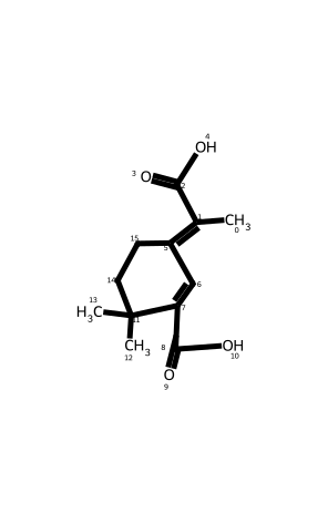 CC(C(=O)O)=C1C=C(C(=O)O)C(C)(C)CC1